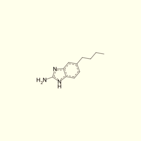 CCCCc1ccc2[nH]c(N)nc2c1